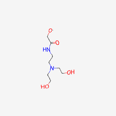 [O]CC(=O)NCCN(CCO)CCO